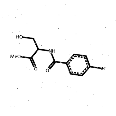 COC(=O)C(CO)NC(=O)c1ccc(C(C)C)cc1